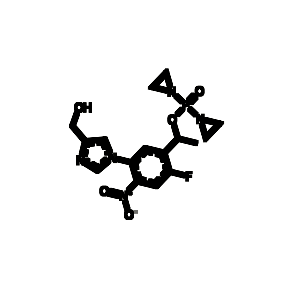 CC(OP(=O)(N1CC1)N1CC1)c1cc(-n2cnc(CO)c2)c([N+](=O)[O-])cc1F